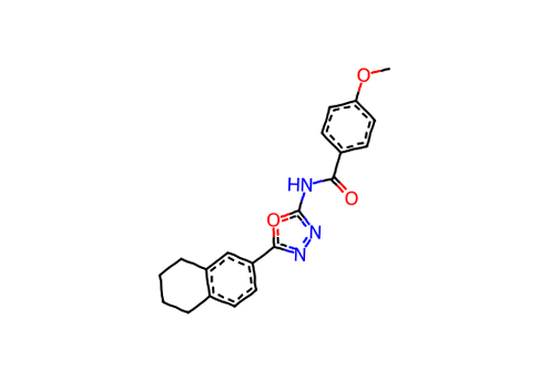 COc1ccc(C(=O)Nc2nnc(-c3ccc4c(c3)CCCC4)o2)cc1